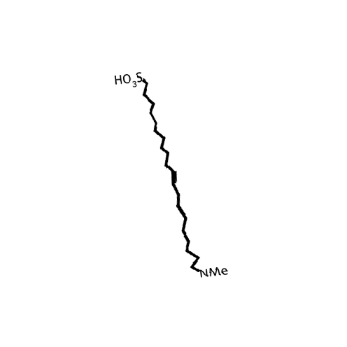 CNCCCCCCCCC=CCCCCCCCCCCS(=O)(=O)O